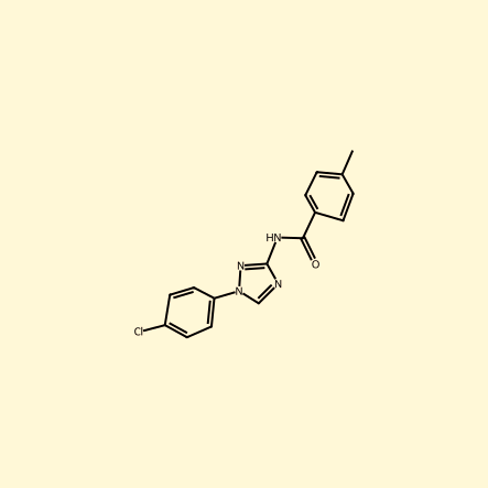 Cc1ccc(C(=O)Nc2ncn(-c3ccc(Cl)cc3)n2)cc1